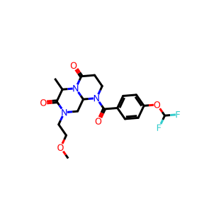 COCCN1CC2N(C(=O)c3ccc(OC(F)F)cc3)CCC(=O)N2C(C)C1=O